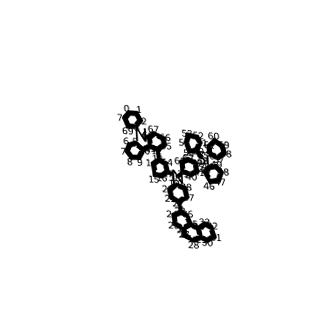 c1ccc(-n2c3ccccc3c3c(-c4cccc(N(c5ccc(-c6ccc7ccc8ccccc8c7c6)cc5)c5ccc([Si](c6ccccc6)(c6ccccc6)c6ccccc6)cc5)c4)cccc32)cc1